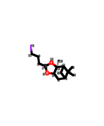 CC1(C)C2CC3OB(CCCI)O[C@@]3(C)C1C2